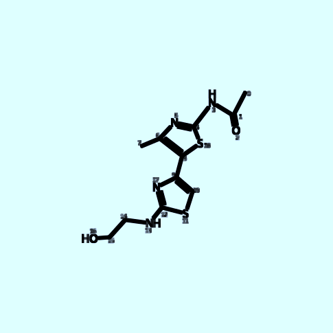 CC(=O)Nc1nc(C)c(-c2csc(NCCO)n2)s1